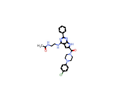 CC(=O)NCCNc1nc(-c2ccccc2)nc2[nH]c(C(=O)N3CCN(c4ccc(Cl)cc4)CC3)cc12